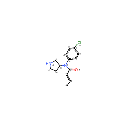 CC=CC(=O)N(c1ccc(Cl)cc1)C1CCNC1